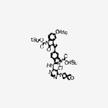 COc1ccc2c(c1)[C@]1(CC1c1ccc3c(Nc4ncnc(N5CC6(COC6)C5)c4Cl)nn(C(=O)OC(C)(C)C)c3c1)C(=O)N2C(=O)OC(C)(C)C